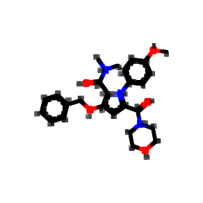 COc1ccc(-n2c(C(=O)N3CCOCC3)cc(OCc3ccccc3)c2C(=O)N(C)C)cc1